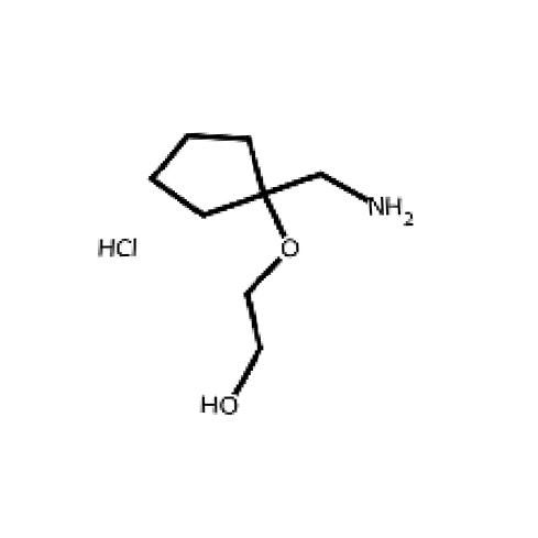 Cl.NCC1(OCCO)CCCC1